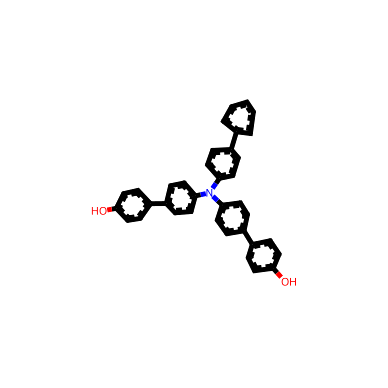 Oc1ccc(-c2ccc(N(c3ccc(-c4ccccc4)cc3)c3ccc(-c4ccc(O)cc4)cc3)cc2)cc1